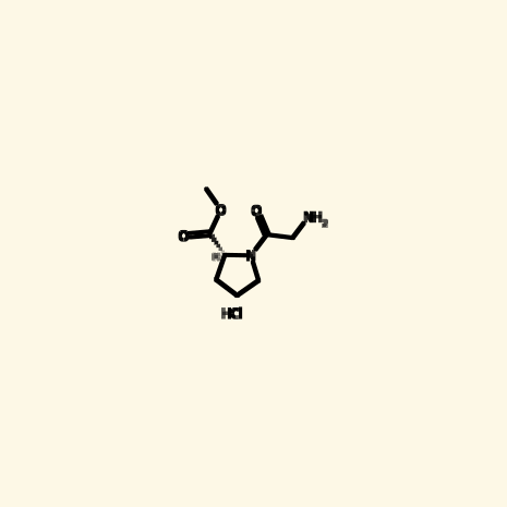 COC(=O)[C@H]1CCCN1C(=O)CN.Cl